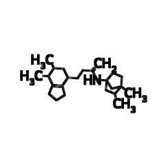 C=C(CCC1CC(C)C(C)C2=C1CCC2)NC12CCC(C)(C1)C(C)C2